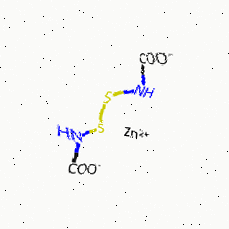 O=C([O-])NSSNC(=O)[O-].[Zn+2]